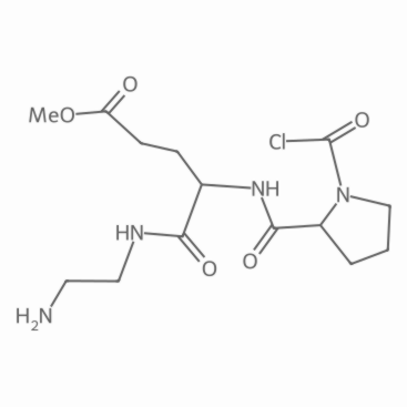 COC(=O)CCC(NC(=O)C1CCCN1C(=O)Cl)C(=O)NCCN